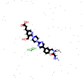 CN(Cc1cccc(-c2cnc(N3CCN(c4ncc(CCC(=O)O)cc4CO)CC3)nc2)c1)C(=O)CN.Cl.Cl